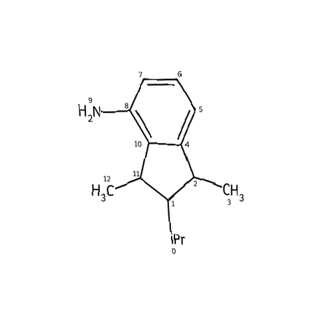 CC(C)C1C(C)c2cccc(N)c2C1C